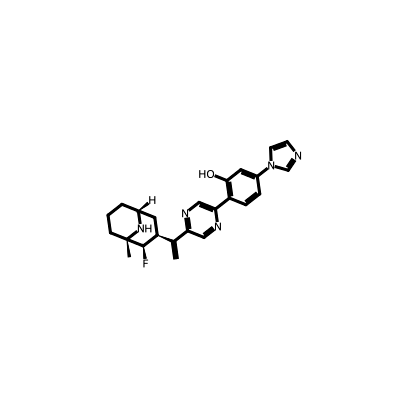 C=C(c1cnc(-c2ccc(-n3ccnc3)cc2O)cn1)[C@@H]1C[C@H]2CCC[C@](C)(N2)[C@@H]1F